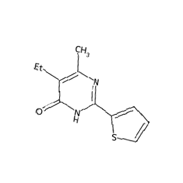 CCc1c(C)nc(-c2cccs2)[nH]c1=O